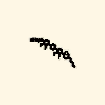 C/C=C/CCC1CCC(c2ccc(-c3ccc(-c4ccc(CCCCCCC)c(F)c4F)cc3)c(F)c2F)OC1